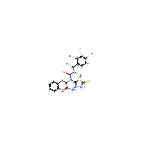 NC(=O)C(Cc1ccccc1)N(C(=O)[C@H](F)C(F)c1ccc(F)c(F)c1F)c1n[nH]c(=S)s1